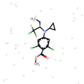 CC[C@@H](N(c1cc(F)c(C(=O)OC)c(F)c1)C1CC1)C(F)(F)F